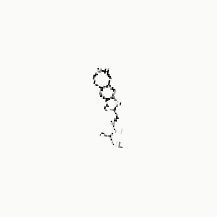 NC(=O)NN=CC1Oc2cc3c(cc2O1)CC=NN=C3